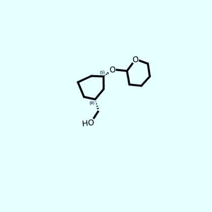 OC[C@@H]1CCC[C@H](OC2CCCCO2)C1